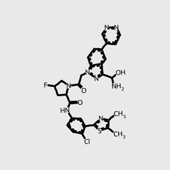 Cc1nc(-c2cc(NC(=O)C3CC(F)CN3C(=O)Cn3nc(C(N)O)c4cc(-c5ccnnc5)ccc43)ccc2Cl)sc1C